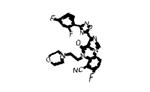 N#Cc1c(F)ccc2c1n(CCN1CCOCC1)c(=O)c1c(-c3nc(-c4ccc(F)cc4F)no3)ncn12